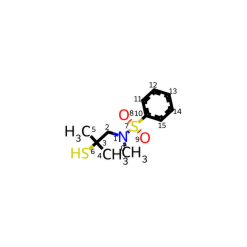 CN(CC(C)(C)S)S(=O)(=O)c1ccccc1